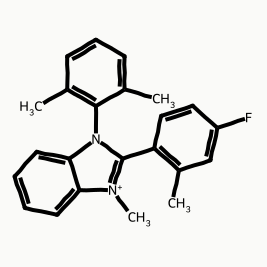 Cc1cc(F)ccc1-c1n(-c2c(C)cccc2C)c2ccccc2[n+]1C